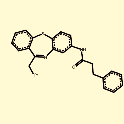 CC(C)CC1=Nc2cc(NC(=O)CCc3ccccc3)ccc2Sc2ccccc21